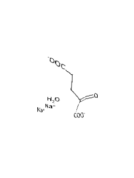 O.O=C([O-])CCC(=O)C(=O)[O-].[Na+].[Na+]